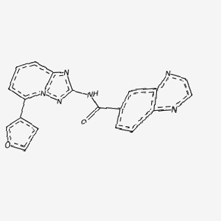 O=C(Nc1nc2cccc(-c3ccoc3)n2n1)c1ccc2nccnc2c1